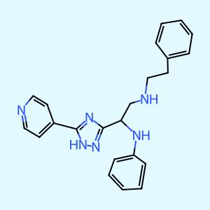 c1ccc(CCNCC(Nc2ccccc2)c2n[nH]c(-c3ccncc3)n2)cc1